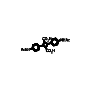 CC(=O)Nc1ccc(C2C(C(=O)O)C(c3ccc(NC(C)=O)cc3)C2C(=O)O)cc1